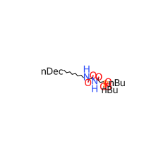 CCCCCCCCCCCCCCCCCCNC(=O)C(=O)NC(=O)CCP(=O)(OCCCC)OCCCC